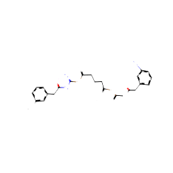 C=C(BC(=O)Cc1cccc(N)c1)SC(=C)CCCC(=C)SC(=N)NC(=O)Cc1cccc(C)c1